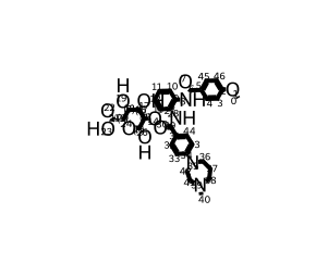 COc1ccc(C(=O)Nc2cccc(O[C@@H]3[C@@H](O)[C@H](O)[C@@H](C(=O)O)O[C@H]3O)c2NC(=O)c2ccc(N3CCCN(C)CC3)cc2)cc1